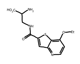 CCOc1ccnc2cc(C(=O)NCC(N)C(=O)O)sc12